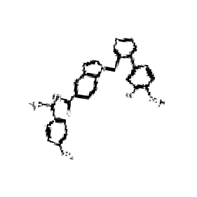 CCc1cc(-c2ccccc2Cn2ccc3cc(C(=O)NC(C)c4ccc([N+](=O)[O-])cc4)ccc32)ccc1C(=O)O